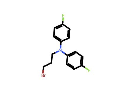 Fc1ccc(N(CCCBr)c2ccc(F)cc2)cc1